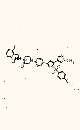 Cc1ccc(S(=O)(=O)n2cc(-c3ccc(N4CC[C@H](NCc5c(F)cccc5Cl)[C@H](O)C4)nc3)cc2-c2cnn(C)c2)cc1